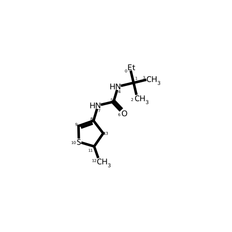 CCC(C)(C)NC(=O)NC1=CSC(C)C1